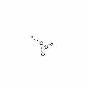 CN(C)C/C=C/C(=O)Nc1cccc(N2C(=O)N(Cc3ccccc3)Cc3cnc(Nc4ccn(C)n4)nc32)c1